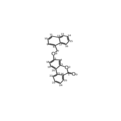 O=c1oc2cc(OCc3cccc4ccccc34)ccc2c2ccccc12